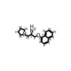 NC(COc1cccc2ccccc12)CN1CCCC1